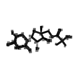 CC(=O)OC(C)(C)C(=O)OC[C@@]1(C)O[C@@H](n2cc(F)c(=O)[nH]c2=O)[C@@H](Br)[C@@H]1O